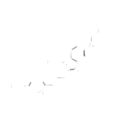 CC(=O)C(C)NC(=O)CCCc1nc2cc(N(CCCl)CCCl)ccc2n1C